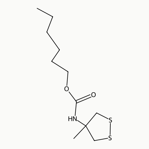 CCCCCCOC(=O)NC1(C)CSSC1